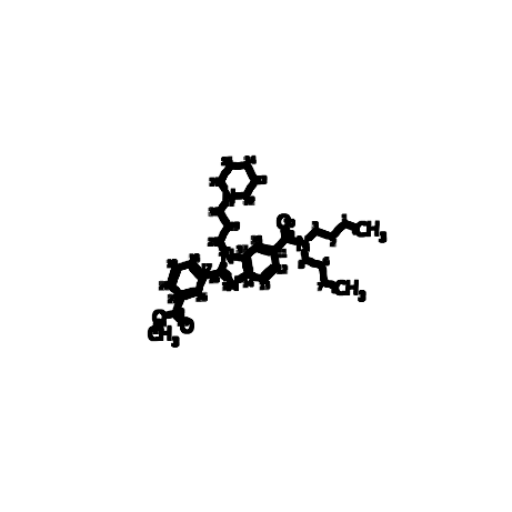 CCCCN(CCCC)C(=O)c1ccc2nc(-c3cccc(C(=O)OC)c3)n(CCCN3CCCCC3)c2c1